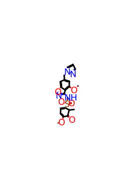 COC1=CC=C(S(=O)(=O)Nc2noc3cc(Cn4cccn4)cc(OC)c23)C(C)C1=O